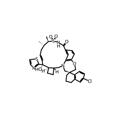 C[C@@H]1[C@@H](C)C/C=C/[C@](O)(c2nccs2)[C@@H]2CC[C@H]2CN2C[C@@]3(CCCc4cc(Cl)ccc43)COc3ccc(cc32)C(=O)NS1(=O)=O